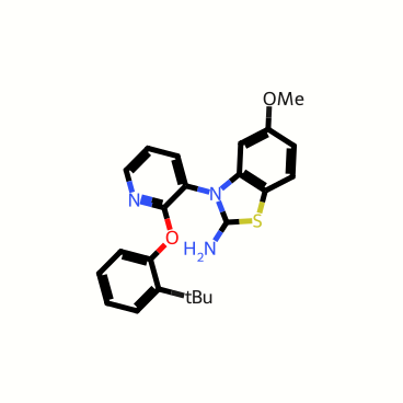 COc1ccc2c(c1)N(c1cccnc1Oc1ccccc1C(C)(C)C)C(N)S2